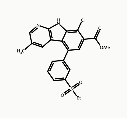 CCS(=O)(=O)c1cccc(-c2cc(C(=O)OC)c(Cl)c3[nH]c4ncc(C)cc4c23)c1